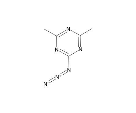 Cc1nc(C)nc(N=[N+]=[N-])n1